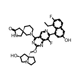 CCc1c(F)ccc2cc(O)cc(-c3ncc4c(N5CCC[C@]6(CNC(=O)C6)C5)nc(OC[C@]56CCCN5C[C@@H](O)C6)nc4c3F)c12